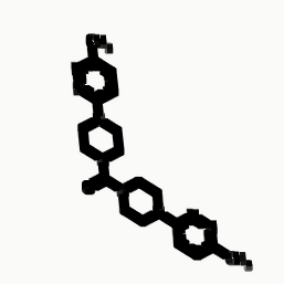 Cc1ccc(N2CCN(C(=O)N3CCN(c4ccc(C)nn4)CC3)CC2)nn1